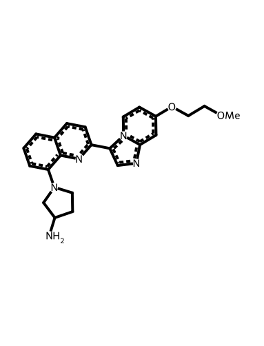 COCCOc1ccn2c(-c3ccc4cccc(N5CCC(N)C5)c4n3)cnc2c1